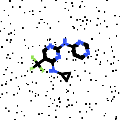 FC(F)(F)c1cnc(Nc2ccncn2)nc1NC1CC1